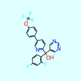 OC(c1cncnc1)(c1ccc(-c2ccc(OC(F)(F)F)cc2)cn1)c1ccc(F)cc1F